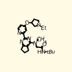 CCN1CCC(Oc2ccnc(-c3nc4c(c(N(C)CC(=O)NC(C)(C)C)n3)CCC4)c2)C1